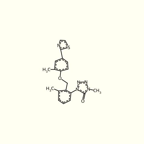 Cc1cc(-c2nccs2)ccc1OCc1c(C)cccc1-n1nnn(C)c1=O